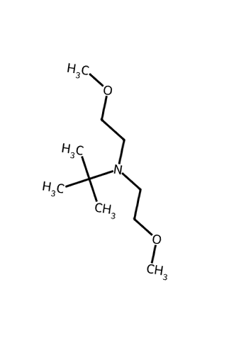 COCCN(CCOC)C(C)(C)C